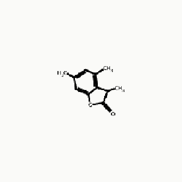 Cc1cc(C)c2c(c1)OC(=O)C2C